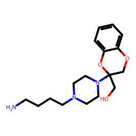 NCCCCN1CCN(C2(CO)COc3ccccc3O2)CC1